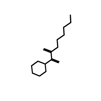 C=C(CCCCCC)C(=C)C1CCCCC1